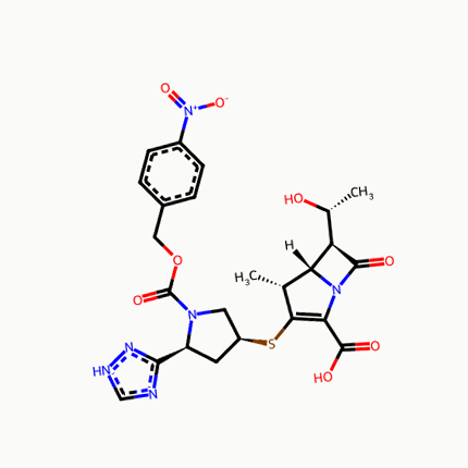 C[C@@H](O)[C@H]1C(=O)N2C(C(=O)O)=C(S[C@H]3C[C@@H](c4nc[nH]n4)N(C(=O)OCc4ccc([N+](=O)[O-])cc4)C3)[C@H](C)[C@H]12